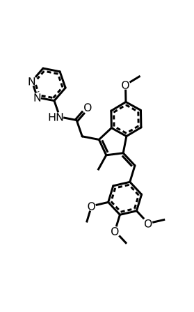 COc1ccc2c(c1)C(CC(=O)Nc1cccnn1)=C(C)C2=Cc1cc(OC)c(OC)c(OC)c1